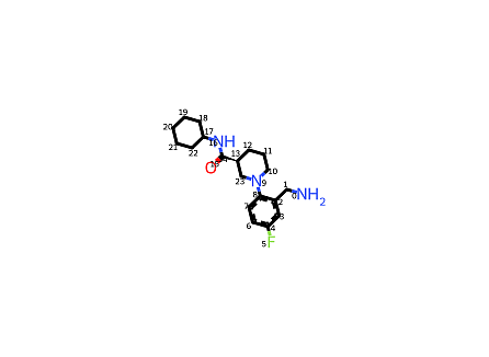 NCc1cc(F)ccc1N1CCC[C@H](C(=O)NC2CCCCC2)C1